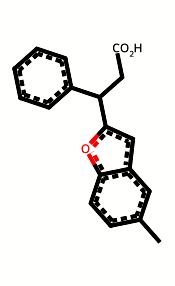 Cc1ccc2oc(C(CC(=O)O)c3ccccc3)cc2c1